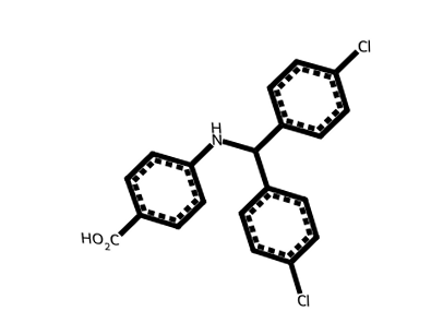 O=C(O)c1ccc(NC(c2ccc(Cl)cc2)c2ccc(Cl)cc2)cc1